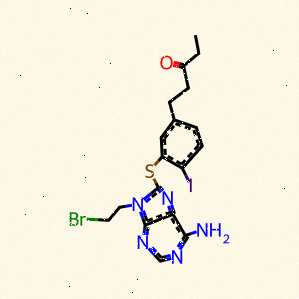 CCC(=O)CCc1ccc(I)c(Sc2nc3c(N)ncnc3n2CCBr)c1